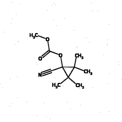 COC(=O)OC1(C#N)C(C)(C)C1(C)C